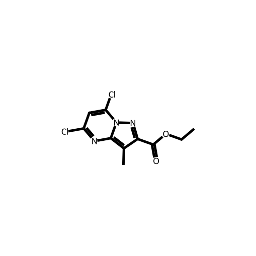 CCOC(=O)c1nn2c(Cl)cc(Cl)nc2c1C